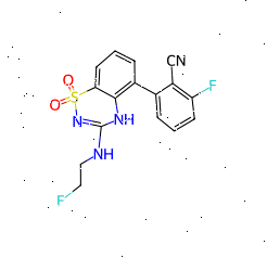 N#Cc1c(F)cccc1-c1cccc2c1NC(NCCF)=NS2(=O)=O